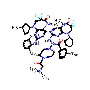 COc1cccc(C(=O)N(Nc2ncc3c(n2)N(C2CCCCC2)CC(F)(F)C(=O)N3C)N2CCN(C(=O)CN(C)C)CC2)c1.COc1cccc(C(=O)O)c1Nc1ncc2c(n1)N(C1CC[C@@H](C)C1)CC(F)(F)C(=O)N2C